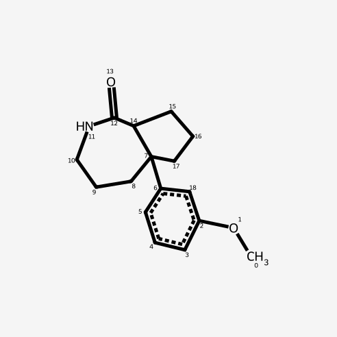 COc1cccc(C23CCCNC(=O)C2CCC3)c1